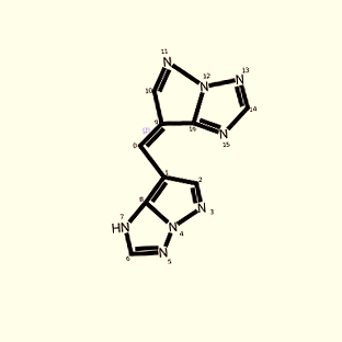 C(/c1cnn2nc[nH]c12)=c1\cnn2ncnc12